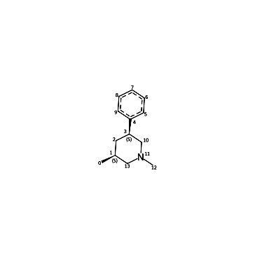 C[C@H]1C[C@@H](c2ccccc2)CN(C)C1